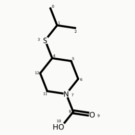 CC(C)SC1CCN(C(=O)O)CC1